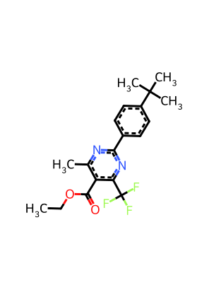 CCOC(=O)c1c(C)nc(-c2ccc(C(C)(C)C)cc2)nc1C(F)(F)F